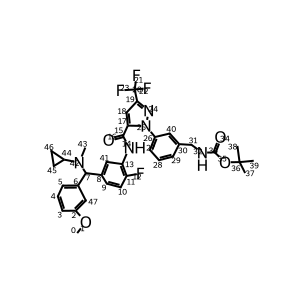 COc1cccc(C(c2ccc(F)c(NC(=O)c3cc(C(F)(F)F)nn3-c3cccc(CNC(=O)OC(C)(C)C)c3)c2)N(C)C2CC2)c1